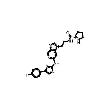 O=C(NCCn1cnc2cnc(Nc3ncc(-c4ccc(F)cc4)s3)cc21)[C@@H]1CCCN1